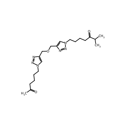 CC(=O)CCCCn1cc(COCc2cn(CCCCC(=O)C(C)C)nn2)nn1